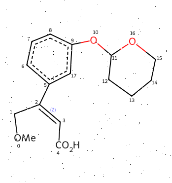 COC/C(=C\C(=O)O)c1cccc(OC2CCCCO2)c1